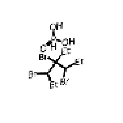 CCC(Br)C(Br)(CC)C(Br)CC.O=[PH](O)O